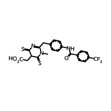 CN1C(=S)C(CC(=O)O)C(=S)N=C1Cc1ccc(NC(=O)c2ccc(C(F)(F)F)cc2)cc1